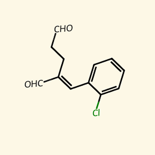 O=CCC/C(C=O)=C\c1ccccc1Cl